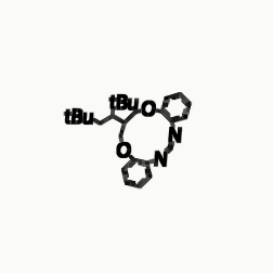 CC(C)(C)CC(C1COc2ccccc2N=C=Nc2ccccc2OC1)C(C)(C)C